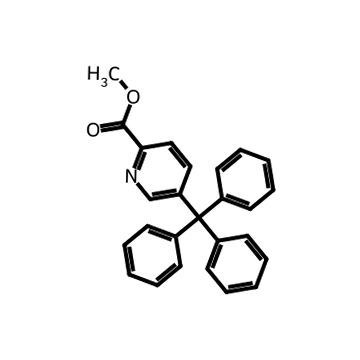 COC(=O)c1ccc(C(c2ccccc2)(c2ccccc2)c2ccccc2)cn1